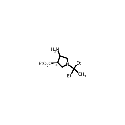 CCOC(=O)[C@@H]1CN(C(C)(CC)CC)CC1N